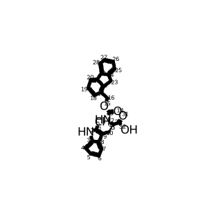 Cc1[nH]c2ccccc2c1C[C@@H](NC(=O)OCc1cccc2c1Cc1ccccc1-2)C(=O)O